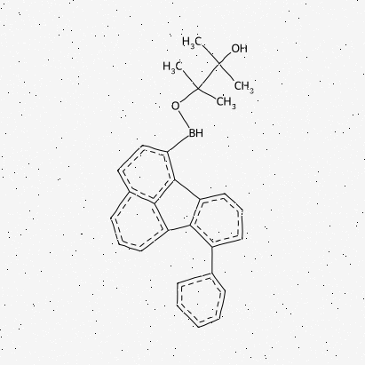 CC(C)(O)C(C)(C)OBc1ccc2cccc3c2c1-c1cccc(-c2ccccc2)c1-3